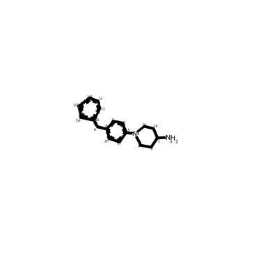 NC1CCN(c2ccc(Cc3ccccc3)cc2)CC1